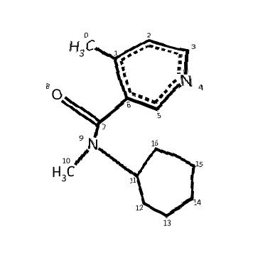 Cc1ccncc1C(=O)N(C)C1CCCCC1